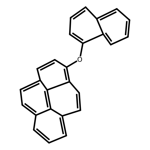 c1ccc2c(Oc3ccc4ccc5cccc6ccc3c4c56)cccc2c1